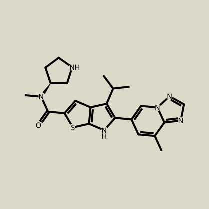 Cc1cc(-c2[nH]c3sc(C(=O)N(C)[C@H]4CCNC4)cc3c2C(C)C)cn2ncnc12